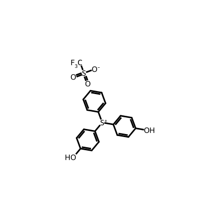 O=S(=O)([O-])C(F)(F)F.Oc1ccc([S+](c2ccccc2)c2ccc(O)cc2)cc1